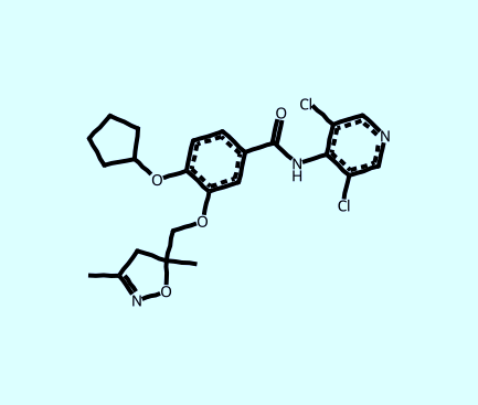 CC1=NOC(C)(COc2cc(C(=O)Nc3c(Cl)cncc3Cl)ccc2OC2CCCC2)C1